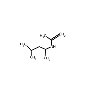 C=C(C)NC(C)CC(C)C